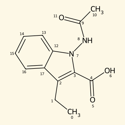 CCc1c(C(=O)O)n(NC(C)=O)c2ccccc12